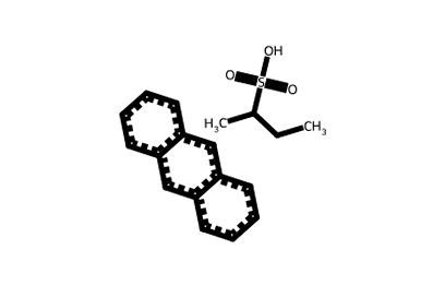 CCC(C)S(=O)(=O)O.c1ccc2cc3ccccc3cc2c1